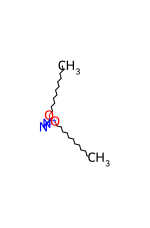 CCCCCCCCCCCCOC(=[N+]=[N-])OCCCCCCCCCCCC